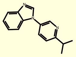 CC(C)c1ccc(-n2cnc3ccccc32)cn1